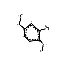 CSc1ccc(CCl)cc1Cl